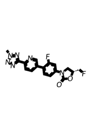 Cn1nnc(-c2ccc(-c3ccc(N4C[C@H](CF)OC4=O)cc3F)cn2)n1